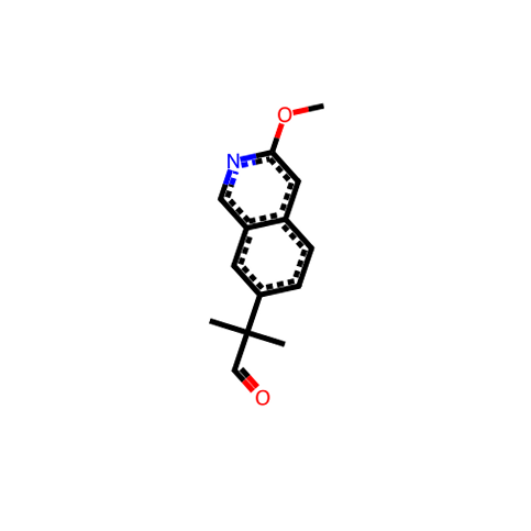 COc1cc2ccc(C(C)(C)C=O)cc2cn1